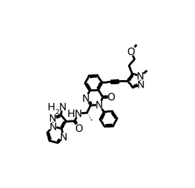 COCCc1c(C#Cc2cccc3nc([C@H](C)NC(=O)c4c(N)nn5cccnc45)n(-c4ccccc4)c(=O)c23)cnn1C